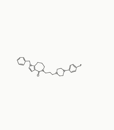 O=C1c2ccn(Cc3ccccc3)c2CCCN1CCCN1CCN(c2ccc(F)cc2)CC1